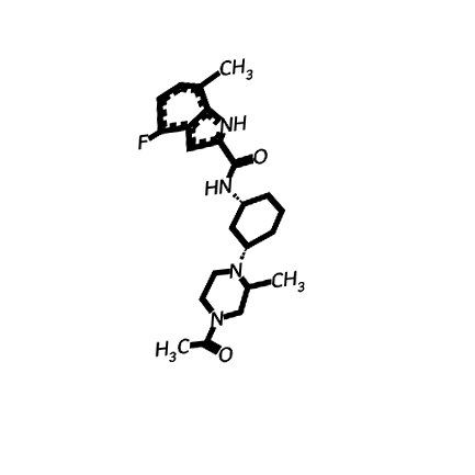 CC(=O)N1CCN([C@H]2CCC[C@@H](NC(=O)c3cc4c(F)ccc(C)c4[nH]3)C2)C(C)C1